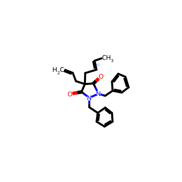 C=CCC1(C/C=C/C)C(=O)N(Cc2ccccc2)N(Cc2ccccc2)C1=O